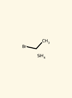 CCBr.[SiH4]